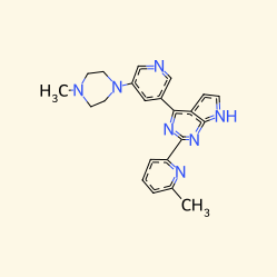 Cc1cccc(-c2nc(-c3cncc(N4CCN(C)CC4)c3)c3cc[nH]c3n2)n1